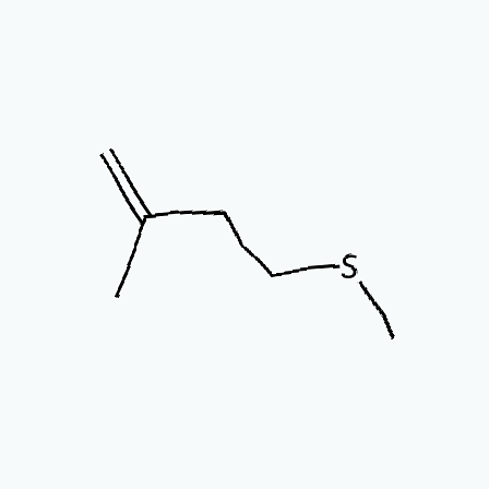 C=C(C)CCSC